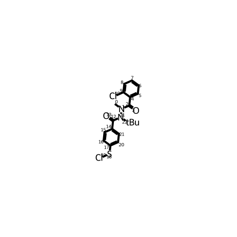 CN(C(=O)c1ccccc1Cl)N(C(=O)c1ccc(SCl)cc1)C(C)(C)C